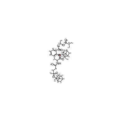 COc1c(CC(NC(=O)CCC2(C)OC3CC4CC(C4(C)C)C3(C)O2)B2OC3CC4CC(C4(C)C)C3(C)O2)cccc1C(=O)OC(C)OC(=O)C(C)C